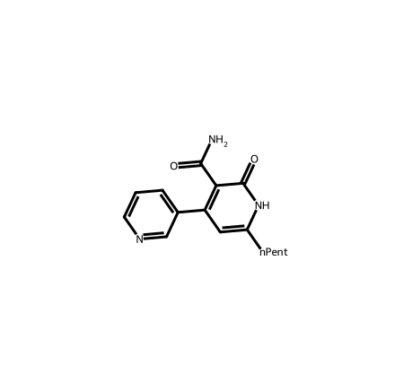 CCCCCc1cc(-c2cccnc2)c(C(N)=O)c(=O)[nH]1